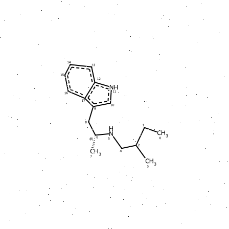 CCC(C)CN[C@H](C)Cc1c[nH]c2ccccc12